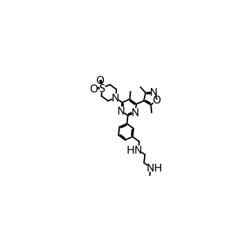 CNCCNCc1cccc(-c2nc(-c3c(C)noc3C)c(C)c(N3CCS(=O)(=O)CC3)n2)c1